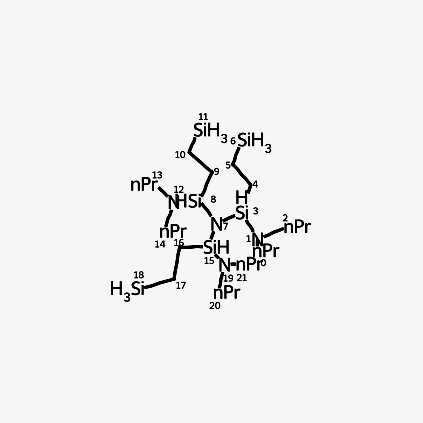 CCCN(CCC)[SiH](CC[SiH3])N([SiH](CC[SiH3])N(CCC)CCC)[SiH](CC[SiH3])N(CCC)CCC